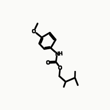 COc1ccc(NC(=O)OCC(C)C(C)C)cc1